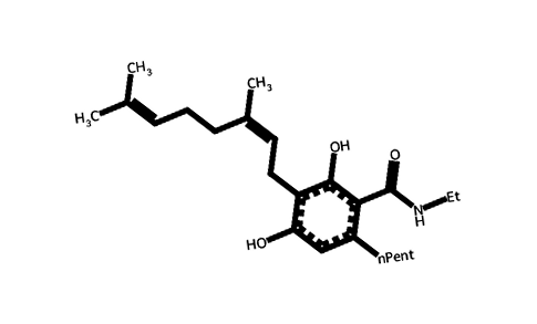 CCCCCc1cc(O)c(CC=C(C)CCC=C(C)C)c(O)c1C(=O)NCC